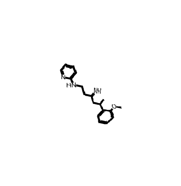 COc1ccccc1C(C)CC(=N)CCNc1ccccn1